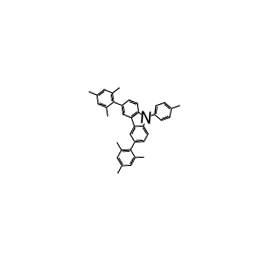 Cc1ccc(-n2c3ccc(-c4c(C)cc(C)cc4C)cc3c3cc(-c4c(C)cc(C)cc4C)ccc32)cc1